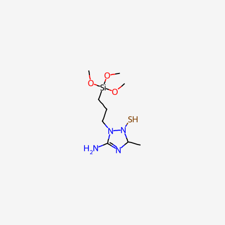 CO[Si](CCCN1C(N)=NC(C)N1S)(OC)OC